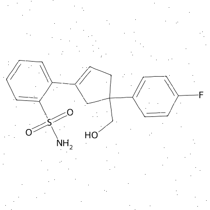 NS(=O)(=O)c1ccccc1C1=CCC(CO)(c2ccc(F)cc2)C1